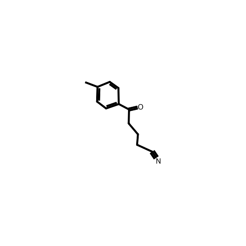 Cc1ccc(C(=O)CCCC#N)cc1